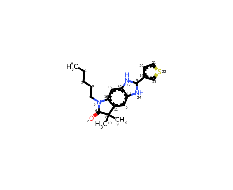 CCCCCN1C(=O)C(C)(C)c2cc3c(cc21)NC(c1ccsc1)N3